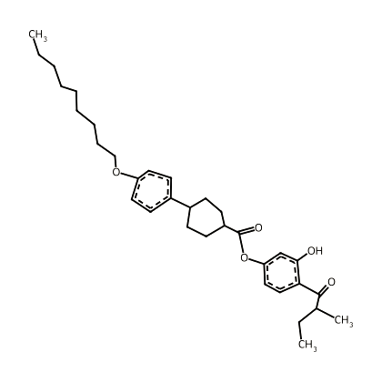 CCCCCCCCCOc1ccc(C2CCC(C(=O)Oc3ccc(C(=O)C(C)CC)c(O)c3)CC2)cc1